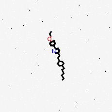 CCCCCCC1CCC(CCc2ccc(-c3ccc(OCCC)cc3)nc2)CC1